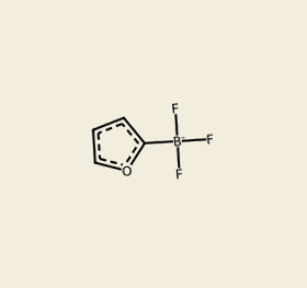 F[B-](F)(F)c1ccco1